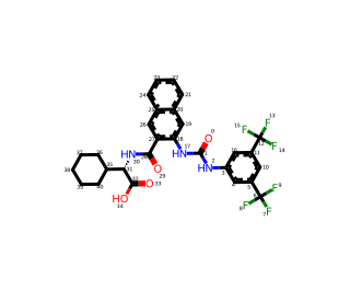 O=C(Nc1cc(C(F)(F)F)cc(C(F)(F)F)c1)Nc1cc2ccccc2cc1C(=O)N[C@H](C(=O)O)C1CCCCC1